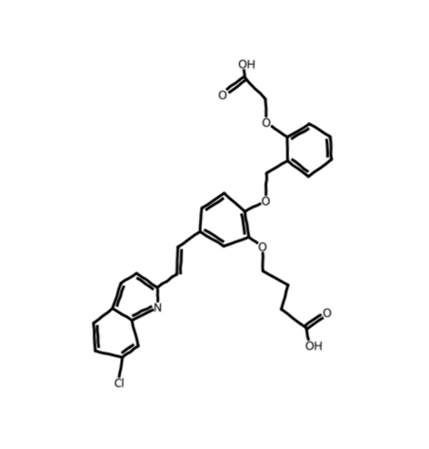 O=C(O)CCCOc1cc(/C=C/c2ccc3ccc(Cl)cc3n2)ccc1OCc1ccccc1OCC(=O)O